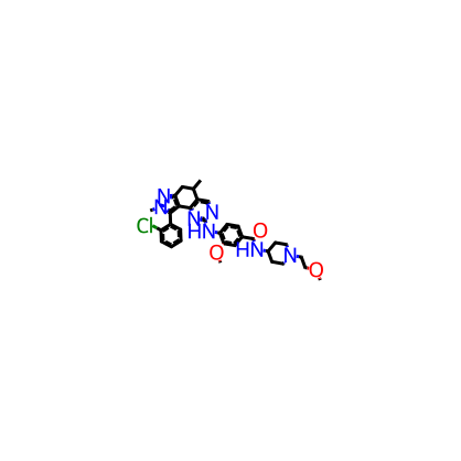 COCCN1CCC(NC(=O)c2ccc(Nc3ncc4c(n3)-c3c(nn(C)c3-c3ccccc3Cl)CC4C)c(OC)c2)CC1